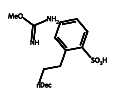 CCCCCCCCCCCCc1ccccc1S(=O)(=O)O.COC(=N)N